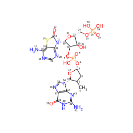 CC1C[C@@H](OP(=O)(O)OC2[C@H](n3c(=O)sc4c(N)ncnc43)O[C@H](COP(=O)(O)O)[C@H]2O)O[C@H]1n1cnc2c(=O)[nH]c(N)nc21